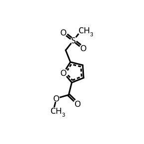 COC(=O)c1ccc(CS(C)(=O)=O)o1